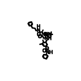 Cc1cc(OC(=O)Nc2ccccc2)cc(C)c1C[C@@H](NC(=O)OC(C)(C)C)C(=O)N[C@H](C)C(=O)NCCCc1ccccc1